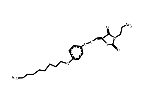 CCCCCCCCCOc1ccc(CC/C=C2\SC(=O)N(CCN)C2=O)cc1